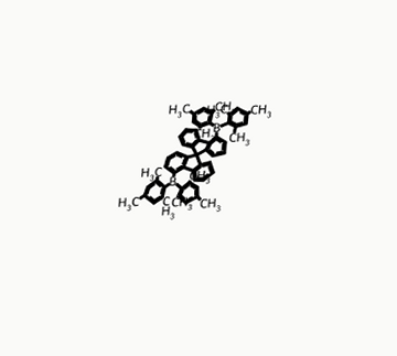 Cc1cc(C)c(B(c2cccc3c2-c2ccccc2C32c3ccccc3-c3c(B(c4c(C)cc(C)cc4C)c4c(C)cc(C)cc4C)cccc32)c2c(C)cc(C)cc2C)c(C)c1